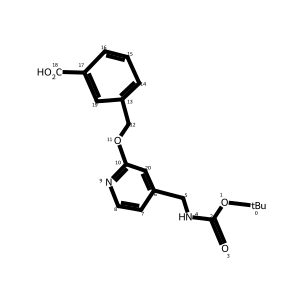 CC(C)(C)OC(=O)NCc1ccnc(OCc2cccc(C(=O)O)c2)c1